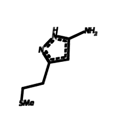 CSCCc1cc(N)[nH]n1